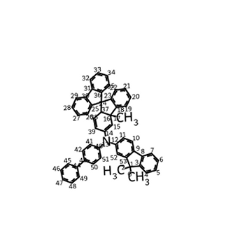 CC1(C)c2ccccc2-c2ccc(N(C3=CC4(C)c5ccccc5C5(c6ccccc6-c6ccccc65)C4C=C3)c3ccc(-c4ccccc4)cc3)cc21